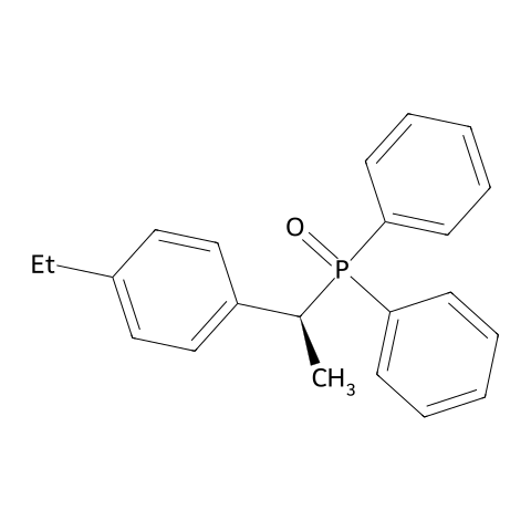 CCc1ccc([C@H](C)P(=O)(c2ccccc2)c2ccccc2)cc1